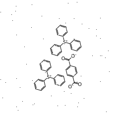 O=C([O-])c1ccc(C(=O)[O-])cc1.c1ccc([S+](c2ccccc2)c2ccccc2)cc1.c1ccc([S+](c2ccccc2)c2ccccc2)cc1